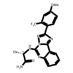 CC[C@H](Nc1nc2ccccc2c2nc(-c3ccc(OC)cc3C(F)(F)F)nn12)C(N)=O